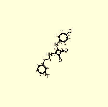 O=c1c(NCCc2cccc(F)c2)c(Nc2ccc(Cl)cc2)c1=O